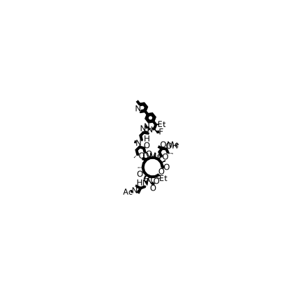 CC[C@H](c1ccc(-c2ccc(C)nc2)cc1)[C@@H](CF)n1cc(CCN(C)[C@H]2C[C@@H](C)O[C@@H](O[C@@H]3[C@@H](C)C([C@H]4C[C@@](C)(OC)[C@@H](O)[C@H](C)O4)[C@@H](C)C(=O)O[C@H](CC)[C@@]4(C)OC(=O)N(NCC5CN(C(C)=O)C5)[C@@H]4[C@@H](C)C(=O)[C@H](C)C[C@@]3(C)OC)[C@@H]2O)nn1